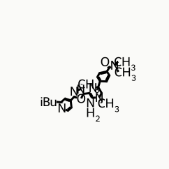 CCC(C)c1cc(C2=NN(C)C(C3=C(N)N(C)CC(c4ccc(C(=O)N(C)C)cc4)=N3)O2)ccn1